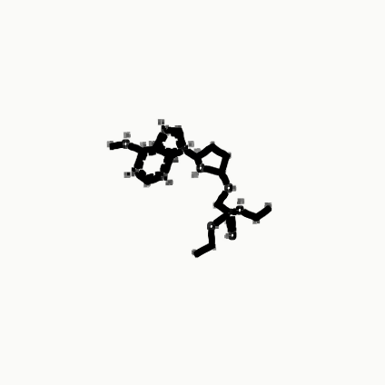 CCOP(=O)(COC1CCC(n2cnc3c(OC)ncnc32)O1)OCC